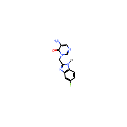 CCn1c(Cn2cncc(N)c2=O)nc2cc(F)ccc21